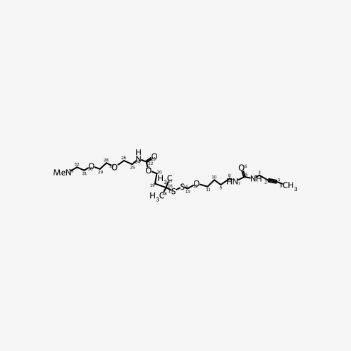 CC#CCNC(=O)NCCCCOCSSC(C)(C)CCOC(=O)NCCOCCOCCNC